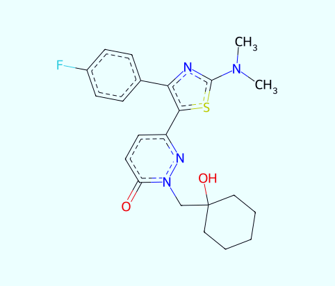 CN(C)c1nc(-c2ccc(F)cc2)c(-c2ccc(=O)n(CC3(O)CCCCC3)n2)s1